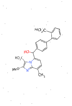 COc1nc2c(C)ccc(C(O)c3ccc(-c4ccccc4C(=O)O)cc3)n2c1C(=O)O